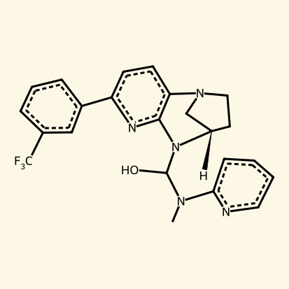 CN(c1ccccn1)C(O)N1c2nc(-c3cccc(C(F)(F)F)c3)ccc2N2CC[C@H]1C2